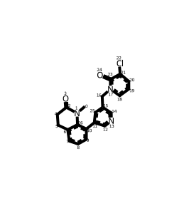 CN1C(=O)CCc2cccc(-c3cncc(Cn4cccc(Cl)c4=O)c3)c21